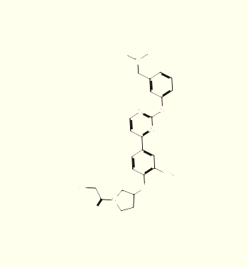 CN(C)Cc1cccc(Nc2nccc(-c3ccc(OC4CCN(C(=O)CO)C4)c(C#N)c3)n2)c1